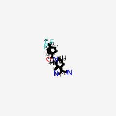 N#Cc1cncc2c1C[C@H]1C[C@@H]2N(C(=O)C23CCC(C(F)(F)F)(CC2)C3)C1